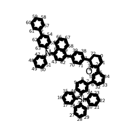 C1=Cc2c(oc3c(-c4cccc([Si](c5ccccc5)(c5ccccc5)c5ccccc5)c4)cccc23)C(c2ccc(-c3ccc(N(c4ccccc4)c4ccc(-c5ccccc5)cc4)c4ccccc34)cc2)C1